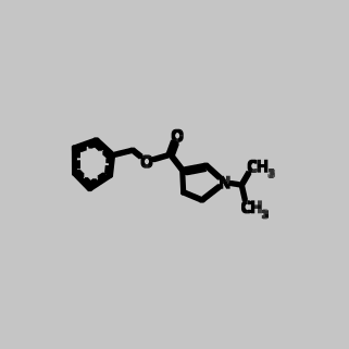 CC(C)N1C=C(C(=O)OCc2ccccc2)CC1